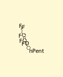 CCCCCC1CCC(COc2cc3c(c(F)c2F)-c2c-3ccc(CCC=C(F)F)c2F)CC1